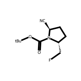 CC(C)(C)OC(=O)N1[C@@H](CF)CC[C@@H]1C#N